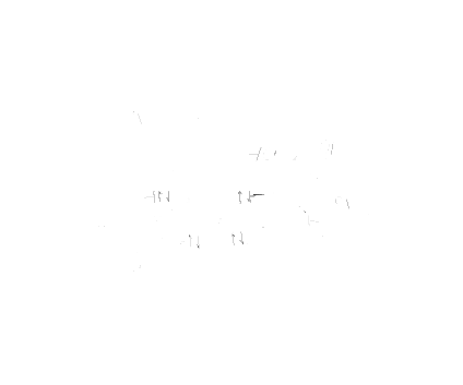 CC1C(O)=C(O)[C@@]2(N3C=C(c4ccc(F)cc4)C4C(Nc5ccccc5)=NC=NC43)C[C@@H]12